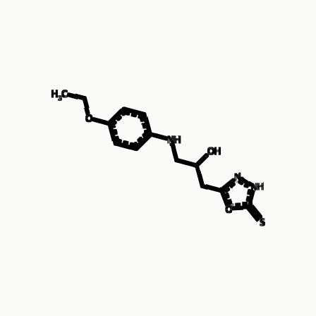 CCOc1ccc(NCC(O)Cc2n[nH]c(=S)o2)cc1